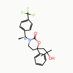 C[C@@H](c1ccc(C(F)(F)F)cc1)N1CCC(CC(C)(C)O)(c2ccccc2)OC1=O